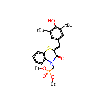 CCOP(=O)(CN1C(=O)C(=Cc2cc(C(C)(C)C)c(O)c(C(C)(C)C)c2)Sc2ccccc21)OCC